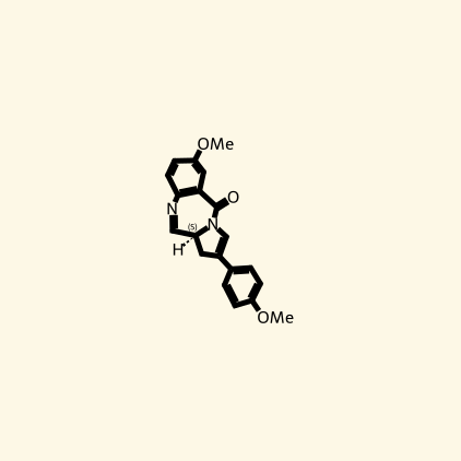 COc1ccc(C2=CN3C(=O)c4cc(OC)ccc4N=C[C@@H]3C2)cc1